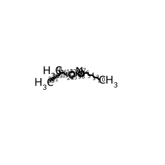 CCCCCCCc1ccc([C@H]2CC[C@H](CCC(C)CCCCC)CC2)nc1